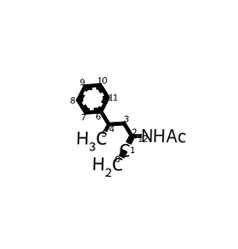 C=C=C(CC(C)c1ccccc1)NC(C)=O